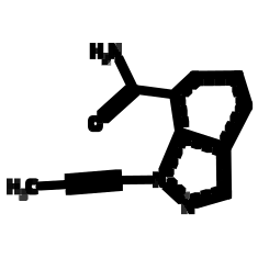 CC#Cn1ncc2cccc(C(N)=O)c21